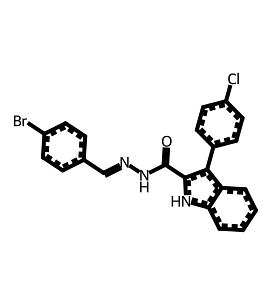 O=C(NN=Cc1ccc(Br)cc1)c1[nH]c2ccccc2c1-c1ccc(Cl)cc1